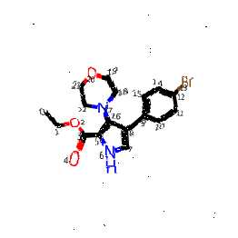 CCOC(=O)c1[nH]cc(-c2ccc(Br)cc2)c1N1CCOCC1